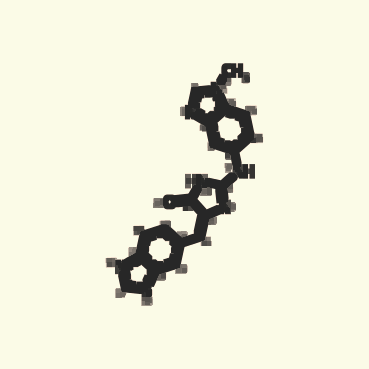 Cn1cnc2cc(NC3=NC(=Cc4ccc5ncsc5c4)C(=O)N3)ccc21